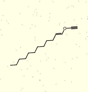 C#COC=CCCCCCCCCCC